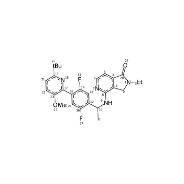 CCN1Cc2c(ccnc2NC(C)c2cc(F)c(-c3nc(C(C)(C)C)ccc3OC)cc2F)C1=O